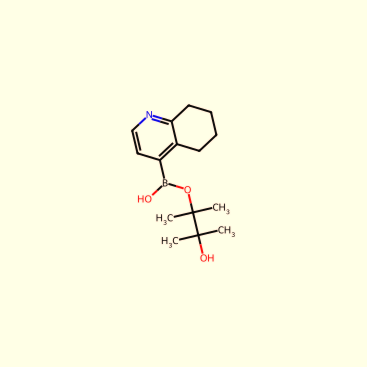 CC(C)(O)C(C)(C)OB(O)c1ccnc2c1CCCC2